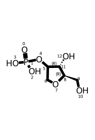 O=P(O)(O)OC1CO[C@H](CO)[C@H]1O